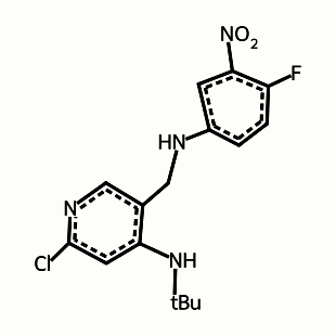 CC(C)(C)Nc1cc(Cl)ncc1CNc1ccc(F)c([N+](=O)[O-])c1